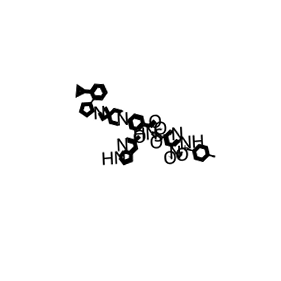 C[C@H]1CC[C@@H](CNc2ncc(S(=O)(=O)NC(=O)c3ccc(N4CCC5(CC4)CN([C@@H]4CCC[C@H]4c4ccccc4C4CC4)C5)cc3Oc3cnc4[nH]ccc4c3)cc2[N+](=O)[O-])CC1